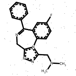 CN(C)Cc1nnc2n1-c1ccc(F)cc1C(c1ccccc1)=NC2